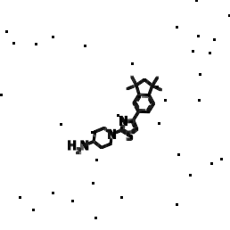 CC1(C)CC(C)(C)c2cc(-c3csc(N4CCC(N)CC4)n3)ccc21